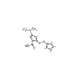 CC(C)c1cc(C(=O)O)n(CCc2ccsc2)c1